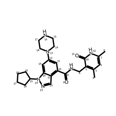 Cc1cc(C)c(CNC(=O)c2cc(N3CCNCC3)cc3c2cnn3C2CCCC2)c(=O)[nH]1